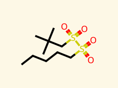 CCCCCS(=O)(=O)S(=O)(=O)CC(C)(C)C